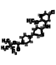 COc1ncc(Cl)cc1Nc1ccc(N2CCN(C(=O)OC(C)(C)C)CC2)cn1